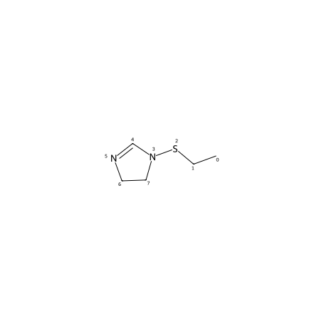 CCSN1C=NCC1